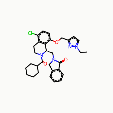 CCn1ccc(COc2ccc(Cl)c3c2[C@@H](CN2Cc4ccccc4C2=O)N(C(=O)C2CCCCC2)CC3)n1